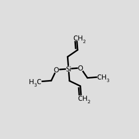 C=CC[Si](CC=C)(OCC)OCC